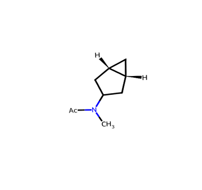 CC(=O)N(C)C1C[C@@H]2C[C@@H]2C1